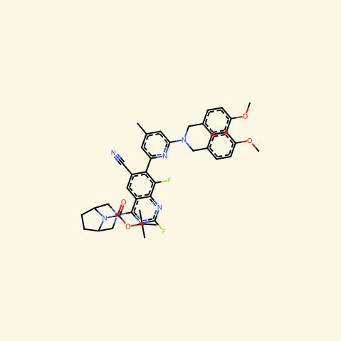 COc1ccc(CN(Cc2ccc(OC)cc2)c2cc(C)cc(-c3c(C#N)cc4c(N5CC6CCC(C5)N6C(=O)OC(C)(C)C)nc(F)nc4c3F)n2)cc1